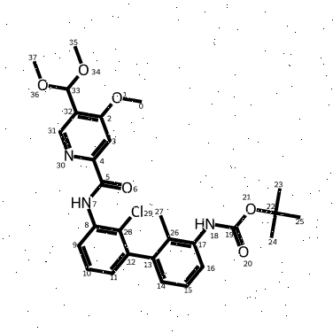 COc1cc(C(=O)Nc2cccc(-c3cccc(NC(=O)OC(C)(C)C)c3C)c2Cl)ncc1C(OC)OC